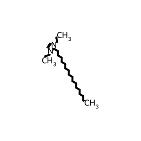 CCCCCCCCCCCCCCCCCC1N(CCC)C=CN1CCC